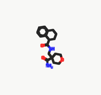 NC(=O)C1(CNC(=O)C2CCCc3ccccc32)CCOCC1